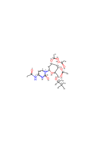 CC(=O)Nc1ccn([C@H]2C[C@H](OC(C)=O)[C@H](OC(C)=O)[C@H](OC(C)=O)C(CO[Si](C)(C)C(C)(C)C)O2)c(=O)n1